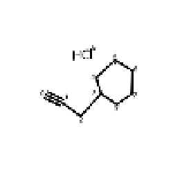 C#CCC1C[CH]CCC1.Cl